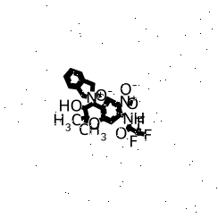 CC1(C)Oc2cc(NC(=O)C(F)(F)F)c([N+](=O)[O-])cc2C([N+]2([O-])Cc3ccccc3C2)C1O